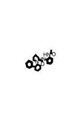 CC(=O)Nc1ccccc1NC(=O)C1C[CH]CCN1C1CCCCC1c1ccccc1